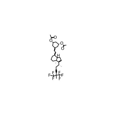 CC(=O)OC1C/C(=C/C=C2\CCC[C@]3(C)C([C@H](C)CC#CC(C)(C(F)(F)F)C(F)(F)F)=CC[C@@H]23)C[C@@H](OC(C)=O)C1